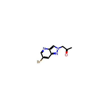 CC(=O)Cn1cc2ncc(Br)cc2n1